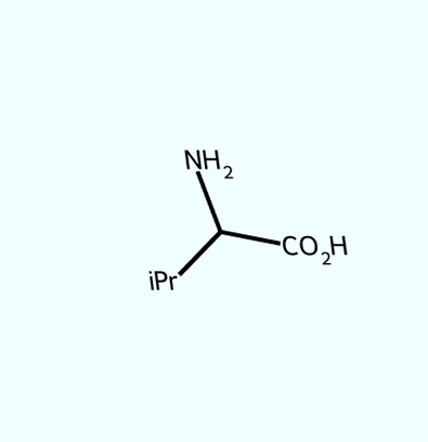 [14CH3][14CH]([14CH3])C(N)[14C](=O)O